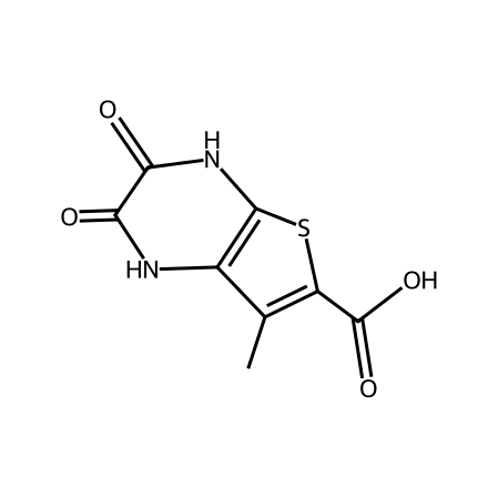 Cc1c(C(=O)O)sc2[nH]c(=O)c(=O)[nH]c12